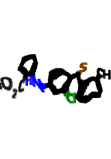 Cc1ccccc1C(=S)c1ccc(Nc2ccccc2C(=O)O)cc1Cl